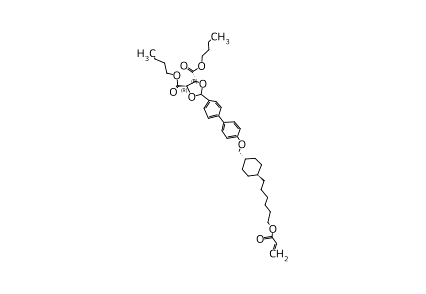 C=CC(=O)OCCCCCC[C@H]1CC[C@H](COc2ccc(-c3ccc(C4O[C@@H](C(=O)OCCCC)[C@H](C(=O)OCCCC)O4)cc3)cc2)CC1